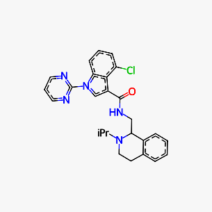 CC(C)N1CCc2ccccc2C1CNC(=O)c1cn(-c2ncccn2)c2cccc(Cl)c12